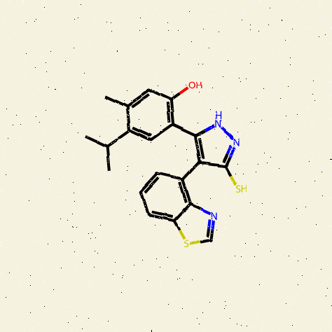 Cc1cc(O)c(-c2[nH]nc(S)c2-c2cccc3scnc23)cc1C(C)C